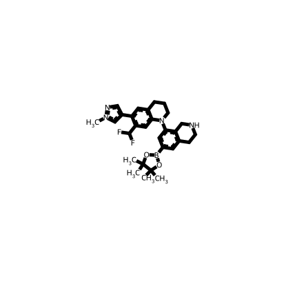 Cn1cc(-c2cc3c(cc2C(F)F)N(c2cc(B4OC(C)(C)C(C)(C)O4)cc4c2CNCC4)CCC3)cn1